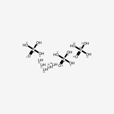 O=P(O)(O)O.O=P(O)(O)O.O=P(O)(O)O.[LiH].[LiH].[LiH].[LiH].[LiH]